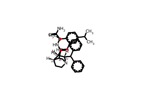 COc1ccc(C(C)C)cc1CN[C@H]1[C@H]2CCN(C[C@@H]2C(=O)NCC(N)=O)[C@H]1C(c1ccccc1)c1ccccc1